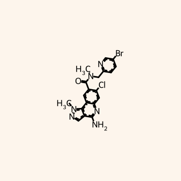 CN(Cc1ccc(Br)cn1)C(=O)c1cc2c(cc1Cl)nc(N)c1cnn(C)c12